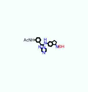 CC(=O)Nc1cccc(-c2nc3cnccn3c2Nc2ccc3c(c2)CCC3=NO)c1